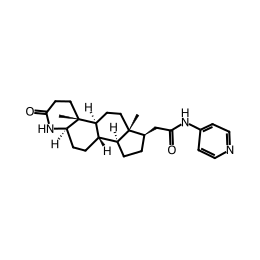 C[C@]12CCC(=O)N[C@@H]1CC[C@@H]1[C@@H]2CC[C@]2(C)[C@@H](CC(=O)Nc3ccncc3)CC[C@@H]12